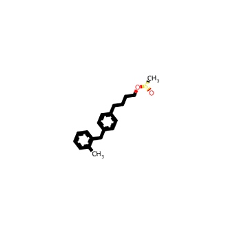 Cc1ccccc1Cc1ccc(CCCCOS(C)=O)cc1